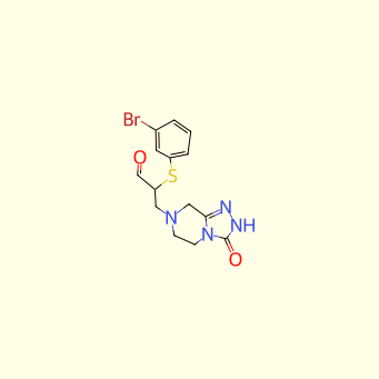 O=CC(CN1CCn2c(n[nH]c2=O)C1)Sc1cccc(Br)c1